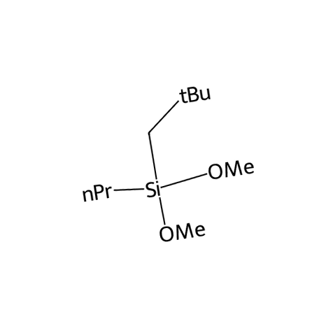 CCC[Si](CC(C)(C)C)(OC)OC